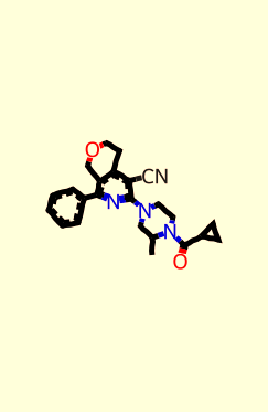 CC1CN(c2nc(-c3ccccc3)c3c(c2C#N)CCOC3)CCN1C(=O)C1CC1